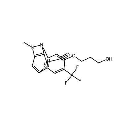 Cn1c2cc3nc(C#N)c2n1-c1cc(OCCCO)c(C(F)(F)F)cc1-3